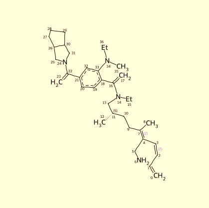 C=C/C=C\C(CN)=C(/C)CC[C@H](C)CN(CC)C(=C)c1ccc(C(=C)N2CC3CCCC3C2)cc1N(C)CC